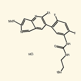 CCc1nc2cc(NC)ncc2cc1-c1cc(NC(=O)NCCC(C)(C)C)c(F)cc1F.Cl